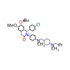 CC[C@@H](C)Oc1cc2c(cc1OC)CC(=O)N(c1ccc(N(C)CC3CCC(N(C)CC(C)C)CC3)cc1)C2c1ccc(Cl)cc1